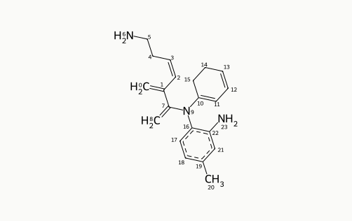 C=C(/C=C\CCN)C(=C)N(C1=CC=CCC1)c1ccc(C)cc1N